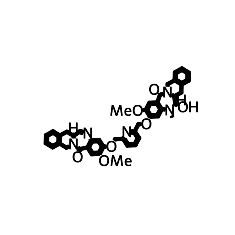 COc1cc2c(cc1OCc1cccc(COc3cc4c(cc3OC)C(=O)N3Cc5ccccc5C[C@H]3C(O)N4C)n1)N=C[C@@H]1Cc3ccccc3CN1C2=O